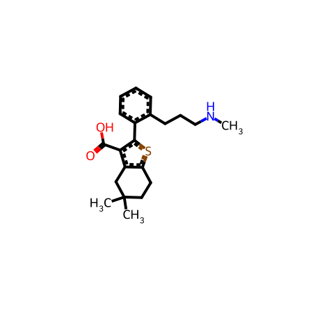 CNCCCc1ccccc1-c1sc2c(c1C(=O)O)CC(C)(C)CC2